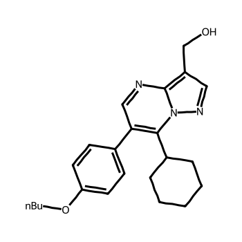 CCCCOc1ccc(-c2cnc3c(CO)cnn3c2C2CCCCC2)cc1